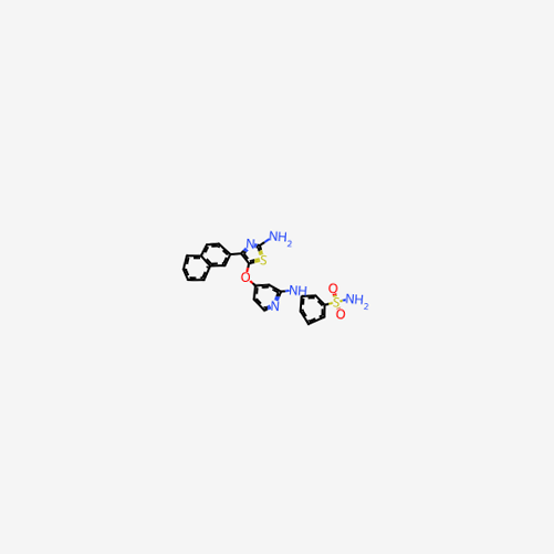 Nc1nc(-c2ccc3ccccc3c2)c(Oc2ccnc(Nc3cccc(S(N)(=O)=O)c3)c2)s1